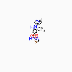 C[C@@H]1CC[C@@]2(CNc3ccc(S(=O)(=O)Nc4nccs4)cc3C(F)(F)F)CCCN12